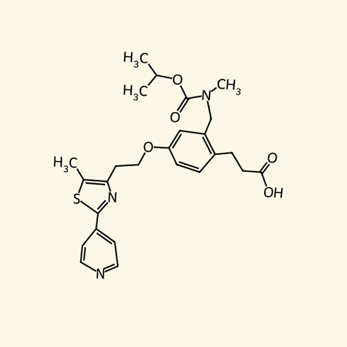 Cc1sc(-c2ccncc2)nc1CCOc1ccc(CCC(=O)O)c(CN(C)C(=O)OC(C)C)c1